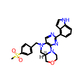 CS(=O)(=O)c1ccc(CN2C[C@H]3COCCN3c3nc(-c4cccc5[nH]ccc45)ncc32)cc1